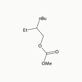 CCCCC(CC)COC(=O)OC